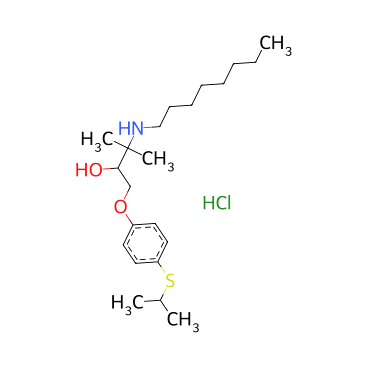 CCCCCCCCNC(C)(C)C(O)COc1ccc(SC(C)C)cc1.Cl